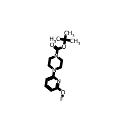 CC(C)(C)OC(=O)N1CCN(c2cccc(OF)n2)CC1